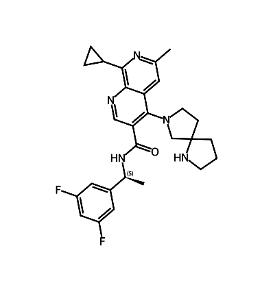 Cc1cc2c(N3CCC4(CCCN4)C3)c(C(=O)N[C@@H](C)c3cc(F)cc(F)c3)cnc2c(C2CC2)n1